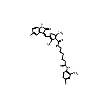 Cc1[nH]c(/C=C2\C(=O)Nc3ccc(F)cc32)c(C)c1C(=O)NCCCCCC(=O)Nc1ccc(F)cc1N